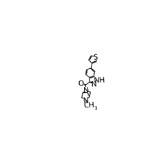 CN1CC2CC1CN2C(=O)c1n[nH]c2cc(-c3ccsc3)ccc12